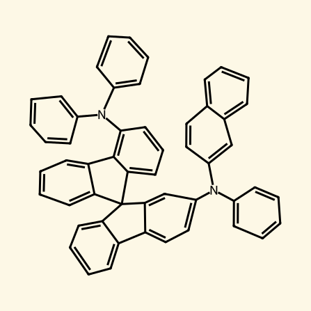 c1ccc(N(c2ccc3c(c2)C2(c4ccccc4-3)c3ccccc3-c3c(N(c4ccccc4)c4ccccc4)cccc32)c2ccc3ccccc3c2)cc1